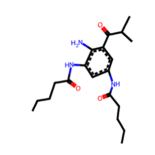 CCCCC(=O)Nc1cc(NC(=O)CCCC)c(N)c(C(=O)C(C)C)c1